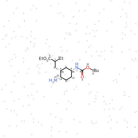 CCOC(=O)C(CC)C[C@@H]1C[C@H](NC(=O)OC(C)(C)C)CC[C@@H]1N